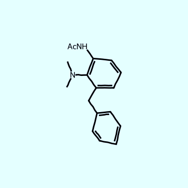 CC(=O)Nc1cccc(Cc2ccccc2)c1N(C)C